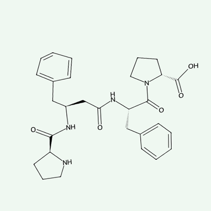 O=C(C[C@H](Cc1ccccc1)NC(=O)[C@@H]1CCCN1)N[C@@H](Cc1ccccc1)C(=O)N1CCC[C@@H]1C(=O)O